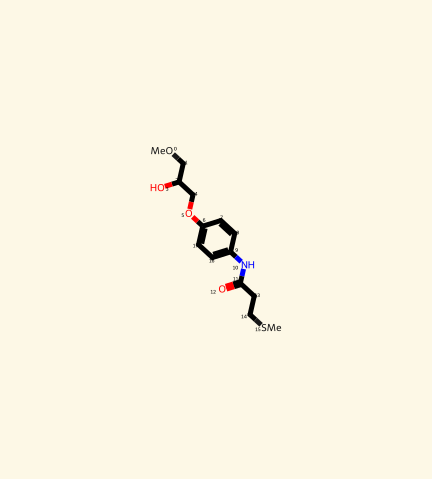 COCC(O)COc1ccc(NC(=O)CCSC)cc1